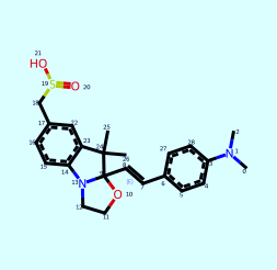 CN(C)c1ccc(/C=C/C23OCCN2c2ccc(CS(=O)O)cc2C3(C)C)cc1